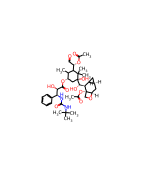 CC(=O)O[C@@H](C=O)C1C(C)[C@@H](OC(=O)[C@H](O)[C@@H](NC(=O)NC(C)(C)C)c2ccccc2)C[C@@](O)([C@@H](O)[C@H]2[C@H]3C[C@H]3C[C@H]3OC[C@@]23OC(C)=O)C1(C)C